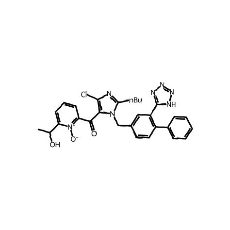 CCCCc1nc(Cl)c(C(=O)c2cccc(C(C)O)[n+]2[O-])n1Cc1ccc(-c2ccccc2)c(-c2nnn[nH]2)c1